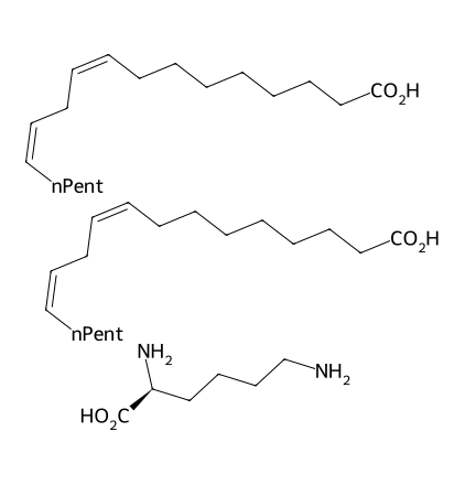 CCCCC/C=C\C/C=C\CCCCCCCC(=O)O.CCCCC/C=C\C/C=C\CCCCCCCC(=O)O.NCCCC[C@H](N)C(=O)O